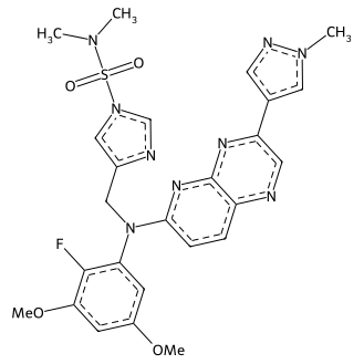 COc1cc(OC)c(F)c(N(Cc2cn(S(=O)(=O)N(C)C)cn2)c2ccc3ncc(-c4cnn(C)c4)nc3n2)c1